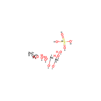 CC(=O)[O-].CC(=O)[O-].O.O.O.O.O.O=S(=O)([O-])[O-].[Cu+2].[Zn+2]